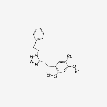 CCOc1cc(OCC)c(CCc2nnnn2CCc2ccccc2)cc1CC